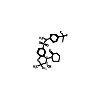 CN(c1ccc(C(F)(F)F)cc1)S(=O)(=O)c1ccc2c(c1)[C@@H](N1CCCCC1=O)[C@H](O)C(C)(C)O2